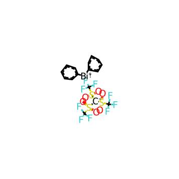 O=S(=O)([C-](S(=O)(=O)C(F)(F)F)S(=O)(=O)C(F)(F)F)C(F)(F)F.c1cc[c]([Bi+][c]2ccccc2)cc1